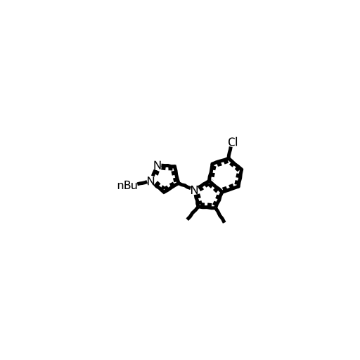 CCCCn1cc(-n2c(C)c(C)c3ccc(Cl)cc32)cn1